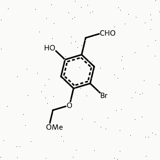 COCOc1cc(O)c(CC=O)cc1Br